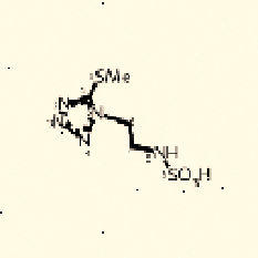 [CH2]Sc1nnnn1CCNS(=O)(=O)O